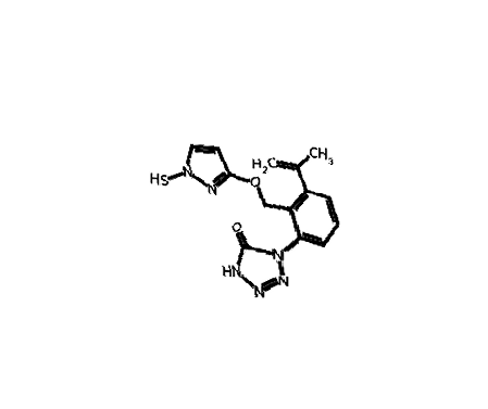 C=C(C)c1cccc(-n2nn[nH]c2=O)c1COc1ccn(S)n1